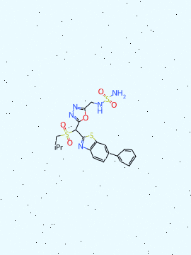 CC(C)CS(=O)(=O)C(c1nnc(CNS(N)(=O)=O)o1)c1nc2ccc(-c3ccccc3)cc2s1